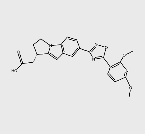 COc1ccc(-c2nc(-c3ccc4c(c3)cc3n4CC[C@H]3CC(=O)O)no2)c(OC)n1